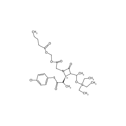 CCCCC(=O)OCOC(=O)CN1C(=O)C(C(C)O[Si](CC)(CC)CC)[C@H]1C(C)C(=O)Sc1ccc(Cl)cc1